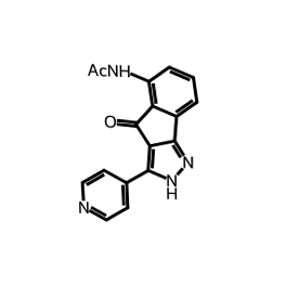 CC(=O)Nc1cccc2c1C(=O)c1c-2n[nH]c1-c1ccncc1